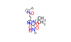 CC(C)Cn1c(=O)c(C(=O)NC2CC2)c(O)n2ncc(/C=C/C(=O)N3CCCC3C3CC3)c12